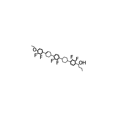 CCCC(O)c1ccc(C2CCC(c3ccc(C4CC=C(c5ccc(OCC)c(F)c5F)CC4)c(F)c3F)CC2)c(F)c1F